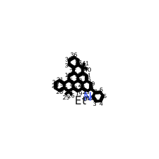 CCn1c2ccccc2c2cc3cc4c5c(cc6c7c(cc(c3c57)c21)C(C)(C)c1ccccc1-6)-c1ccccc1C4(C)C